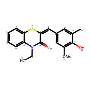 COc1cc(C=C2Sc3ccccc3N(CC#N)C2=O)cc(C)c1O